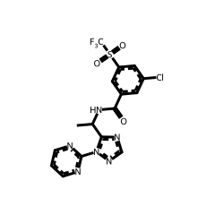 CC(NC(=O)c1cc(Cl)cc(S(=O)(=O)C(F)(F)F)c1)c1ncnn1-c1ncccn1